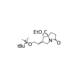 CCOC(=O)[C@@]12CCC(=O)N1CC(=CCO[Si](C)(C)C(C)(C)C)C2